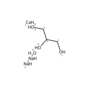 O.OCC(O)CO.[CaH2].[NaH].[NaH]